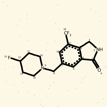 O=C1NCc2c1cc(CN1CCC(F)CC1)cc2C(F)(F)F